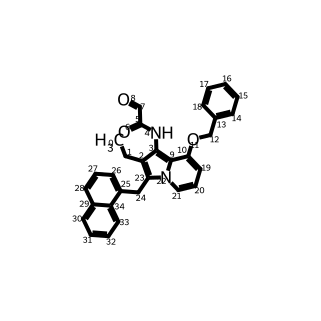 CCc1c(NC(=O)C=O)c2c(OCc3ccccc3)cccn2c1Cc1cccc2ccccc12